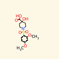 COc1ccc(S(=O)(=O)N2CCC(O)(C(=O)O)CC2)c(OC)c1